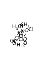 COc1ccc([C@H]2Cc3cc(Cl)ccc3N(CCN(C)C)C(=O)[C@H]2OC(=O)c2ccc([N+](=O)[O-])cc2Cl)cc1